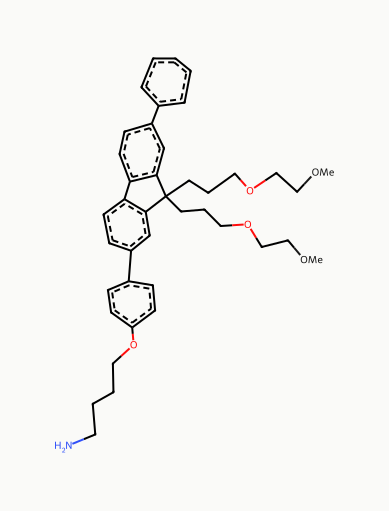 COCCOCCCC1(CCCOCCOC)c2cc(-c3ccccc3)ccc2-c2ccc(-c3ccc(OCCCCN)cc3)cc21